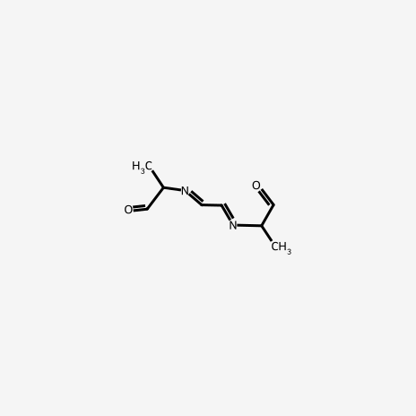 CC(C=O)N=CC=NC(C)C=O